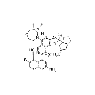 [2H]C([2H])(Oc1nc(N2CCOC[C@H]3[C@H](F)[C@H]32)c2cnc(-c3cc(N)cc4ccc(F)c(C#C)c34)c(C)c2n1)[C@@]12CCCN1CC(=C)C2